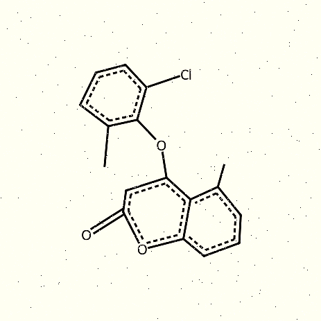 Cc1cccc(Cl)c1Oc1cc(=O)oc2cccc(C)c12